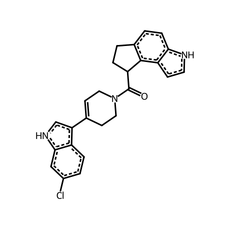 O=C(C1CCc2ccc3[nH]ccc3c21)N1CC=C(c2c[nH]c3cc(Cl)ccc23)CC1